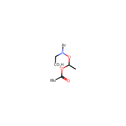 CC(=O)N(CC(=O)O)OC(C)OC(=O)C(C)(C)C